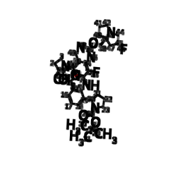 C[C@H]1CCN1c1nc(Nc2c(C3OCCO3)cccc2C2CCCN2C(=O)OC(C)(C)C)c(F)c2nc(OC[C@@]34CCCN3C[C@H](F)C4)ncc12